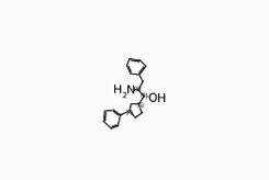 N[C@@H](Cc1ccccc1)[C@H](O)[C@H]1CC[C@@H](c2ccccc2)C1